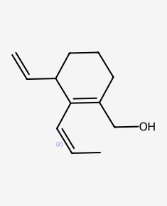 C=CC1CCCC(CO)=C1/C=C\C